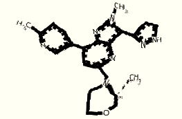 Cc1ccc(-c2cc(N3CCOC[C@H]3C)nc3c(-c4cc[nH]n4)n(C)nc23)cn1